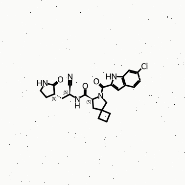 N#C[C@H](C[C@@H]1CCNC1=O)NC(=O)[C@@H]1CC2(CCC2)CN1C(=O)c1cc2ccc(Cl)cc2[nH]1